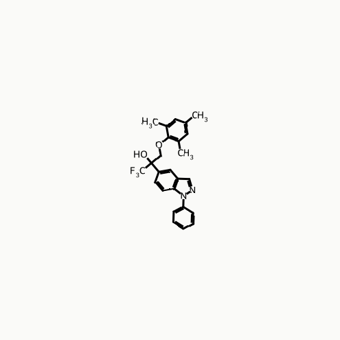 Cc1cc(C)c(OCC(O)(c2ccc3c(cnn3-c3ccccc3)c2)C(F)(F)F)c(C)c1